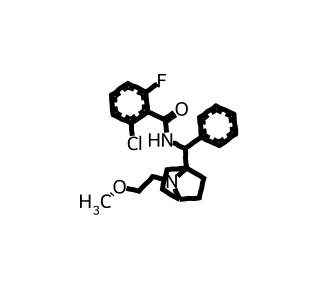 COCCN1C2CCC1(C(NC(=O)c1c(F)cccc1Cl)c1ccccc1)CC2